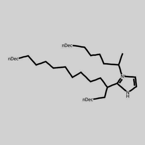 CCCCCCCCCCCCCCCCCCCC(CCCCCCCCCCC)c1[nH]cc[n+]1C(C)CCCCCCCCCCCCCC